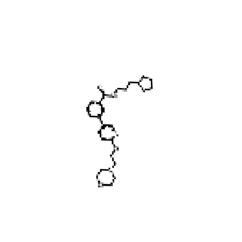 O=C(NCCCC1CCCC1)c1cccc(-c2ccc(OCCN3CCOCC3)nc2)c1